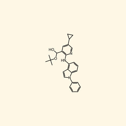 CC(C)(C)OC(O)c1cc(C2CC2)cnc1Nc1cccc2c1ccn2-c1ccccc1